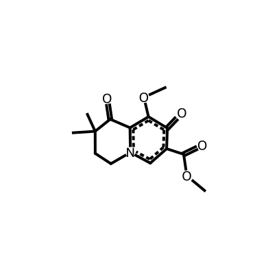 COC(=O)c1cn2c(c(OC)c1=O)C(=O)C(C)(C)CC2